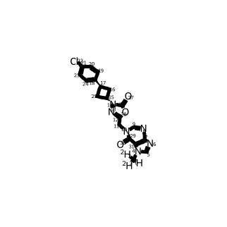 [2H]C([2H])([2H])n1cnc2ncn(Cc3nn([C@H]4C[C@H](c5ccc(Cl)cc5)C4)c(=O)o3)c(=O)c21